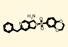 N.O=S(=O)(c1ccc2c(c1)OCCO2)N1Cc2cnc(Cc3ccccc3)cc2C1